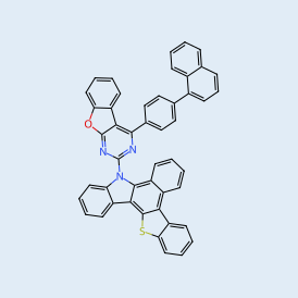 c1ccc2c(-c3ccc(-c4nc(-n5c6ccccc6c6c7sc8ccccc8c7c7ccccc7c65)nc5oc6ccccc6c45)cc3)cccc2c1